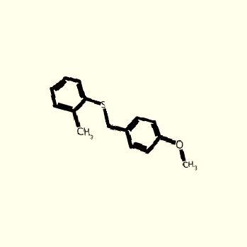 COc1ccc(CSc2ccccc2C)cc1